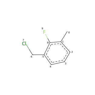 Cc1cccc(CCl)c1F